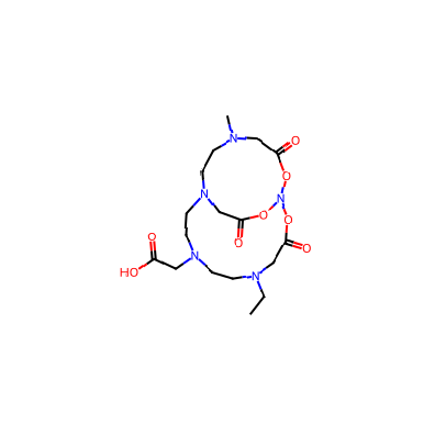 CCN1CCN(CC(=O)O)CCN2CCN(C)CC(=O)ON(OC(=O)C1)OC(=O)C2